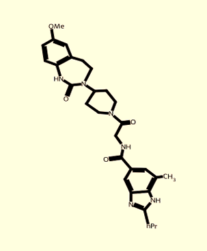 CCCc1nc2cc(C(=O)NCC(=O)N3CCC(N4CCc5cc(OC)ccc5NC4=O)CC3)cc(C)c2[nH]1